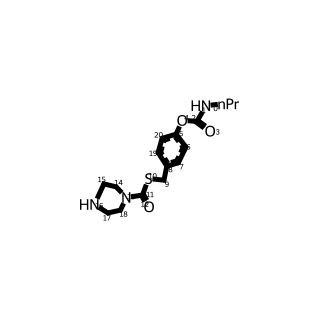 CCCNC(=O)Oc1ccc(CSC(=O)N2CCNCC2)cc1